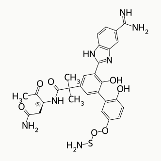 CC(=O)[C@H](CC(N)=O)NC(=O)C(C)(C)c1cc(-c2nc3cc(C(=N)N)ccc3[nH]2)c(O)c(-c2cc(OOSN)ccc2O)c1